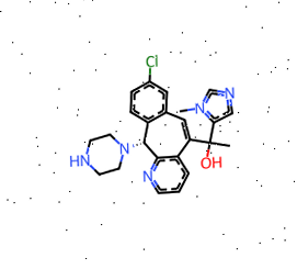 Cn1cncc1C(C)(O)C1=Cc2cc(Cl)ccc2[C@@H](N2CCNCC2)c2ncccc21